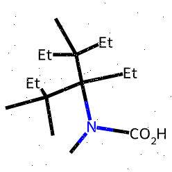 CCC(C)(C)C(CC)(N(C)C(=O)O)C(C)(CC)CC